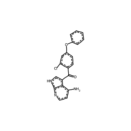 Nc1ccnc2[nH]cc(C(=O)c3ccc(Oc4ccccc4)cc3Cl)c12